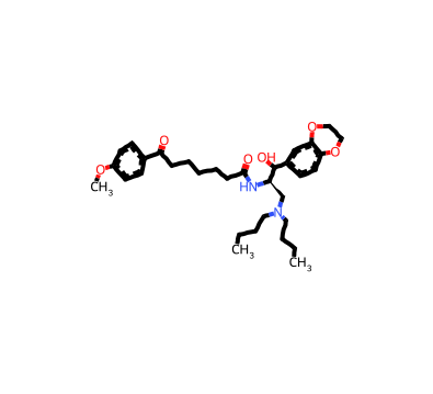 CCCCN(CCCC)C[C@@H](NC(=O)CCCCCC(=O)c1ccc(OC)cc1)C(O)c1ccc2c(c1)OCCO2